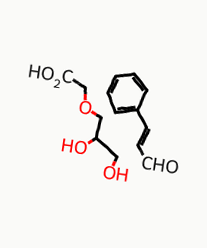 O=C(O)COCC(O)CO.O=C/C=C/c1ccccc1